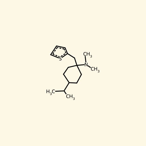 CC(C)C1CCC(Cc2cccs2)(N(C)C)CC1